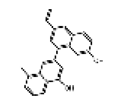 C=Cc1cc(-c2cc(O)c3cccc(C)c3c2)c2cc(O)ccc2c1